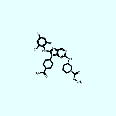 COC(=O)N1CCC[C@@H](Nc2ncc3nc(Nc4c(F)cc(F)cc4Cl)n(C4CCC(C(N)=O)CC4)c3n2)C1